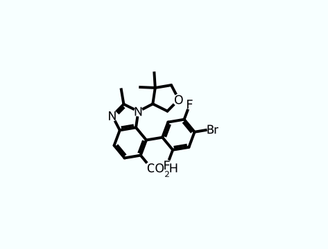 Cc1nc2ccc(C(=O)O)c(-c3cc(F)c(Br)cc3F)c2n1C1COCC1(C)C